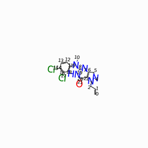 C=CCn1ncc2nc(N(C)c3ccc(Cl)c(Cl)c3)[nH]c(=O)c21